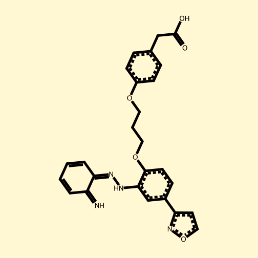 N=C1C=CC=C/C1=N/Nc1cc(-c2ccon2)ccc1OCCCOc1ccc(CC(=O)O)cc1